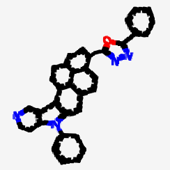 c1ccc(-c2nnc(-c3ccc4ccc5c6c(ccc3c46)cc3c5c4cnccc4n3-c3ccccc3)o2)cc1